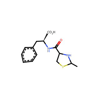 CC1NC(C(=O)N[C@@H](Cc2ccccc2)C(=O)O)CS1